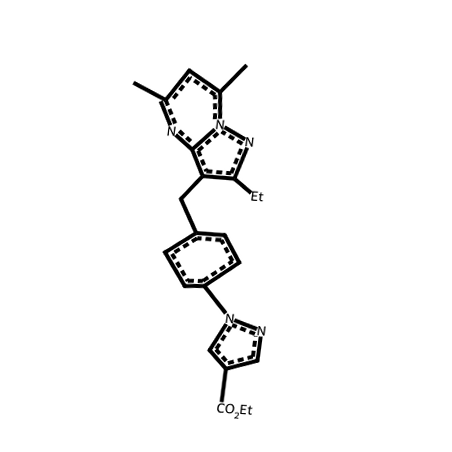 CCOC(=O)c1cnn(-c2ccc(Cc3c(CC)nn4c(C)cc(C)nc34)cc2)c1